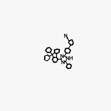 N#Cc1cccc(-c2ccc(C3N=C(c4cccc5c4-c4ccccc4C5(C4=CC=CCC4)c4ccccc4)N=C(c4ccccc4)N3)cc2)c1